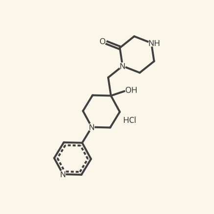 Cl.O=C1CNCCN1CC1(O)CCN(c2ccncc2)CC1